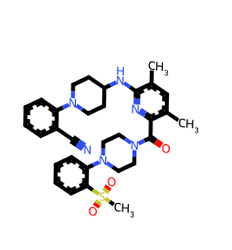 Cc1cc(C)c(C(=O)N2CCN(c3ccccc3S(C)(=O)=O)CC2)nc1NC1CCN(c2ccccc2C#N)CC1